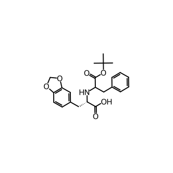 CC(C)(C)OC(=O)C(Cc1ccccc1)N[C@@H](Cc1ccc2c(c1)OCO2)C(=O)O